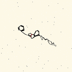 CCCCOc1cccc2c1CCC13CCCC21CCN(Cc1ccccc1)C3